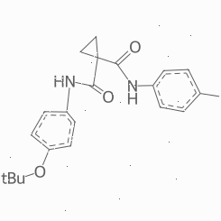 Cc1ccc(NC(=O)C2(C(=O)Nc3ccc(OC(C)(C)C)cc3)CC2)cc1